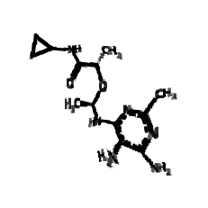 Cc1nc(N)c(N)c(N[C@@H](C)O[C@@H](C)C(=O)NC2CC2)n1